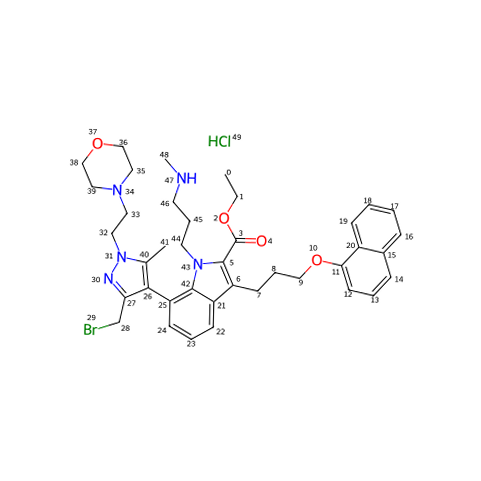 CCOC(=O)c1c(CCCOc2cccc3ccccc23)c2cccc(-c3c(CBr)nn(CCN4CCOCC4)c3C)c2n1CCCNC.Cl